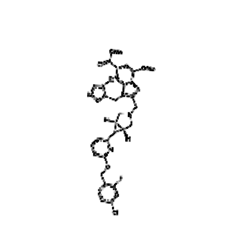 CCn1cncc1Cn1c(CN2C[C@@H]3C(c4cccc(OCc5ccc(Cl)cc5F)n4)[C@@H]3C2)nc2c(OC)cc(C(=O)OC)cc21